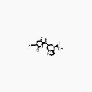 N#Cc1cc(F)c(NC(CNC(=O)O)Cn2cccn2)nc1Cl